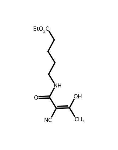 CCOC(=O)CCCCNC(=O)C(C#N)=C(C)O